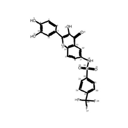 O=c1c(O)c(-c2ccc(O)c(O)c2)oc2ccc(NS(=O)(=O)c3ccc(C(F)(F)F)cc3)cc12